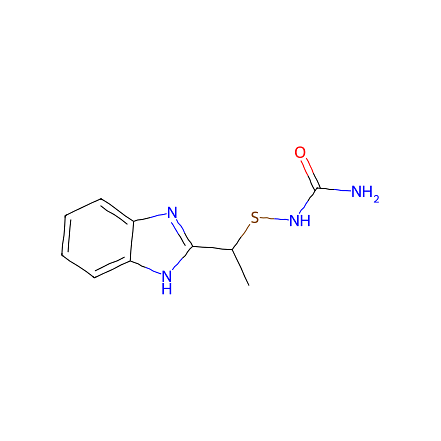 CC(SNC(N)=O)c1nc2ccccc2[nH]1